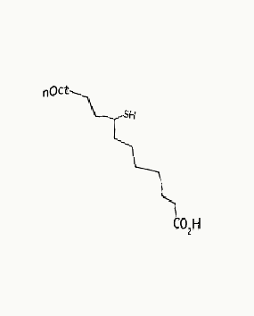 CCCCCCCCCCC(S)CCCCCCC(=O)O